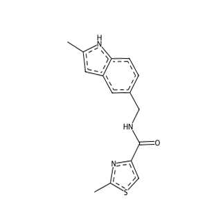 Cc1cc2cc(CNC(=O)c3csc(C)n3)ccc2[nH]1